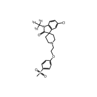 [2H]C([2H])([2H])N1C(=O)C2(CCN(CCOc3ccc(S(C)(=O)=O)cc3)CC2)c2cc(Cl)ccc21